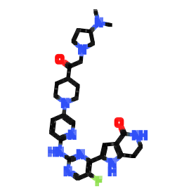 CN(C)C1CCN(CC(=O)C2CCN(c3ccc(Nc4ncc(F)c(-c5cc6c([nH]5)CCNC6=O)n4)nc3)CC2)C1